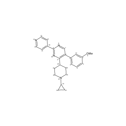 COc1cccc(-c2cnc(-c3ccncc3)nc2C2CCN(C3CC3)CC2)c1